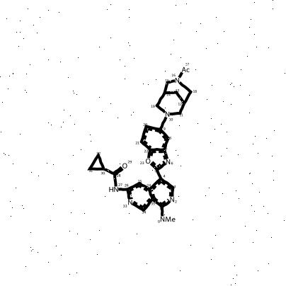 CNc1ncc(-c2nc3cc(N4CC5CC(CN(C(C)=O)C5)C4)ccc3o2)c2cc(NC(=O)C3CC3)ncc12